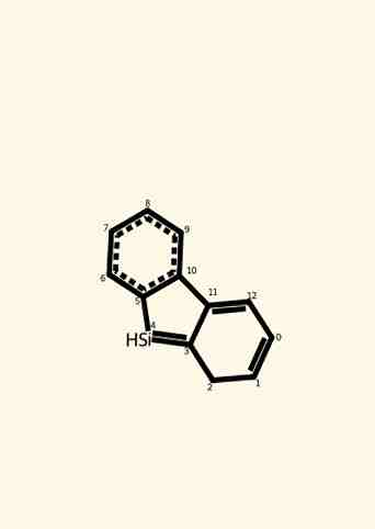 C1=CCC2=[SiH]c3ccccc3C2=C1